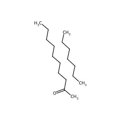 CCCCCCC.CCCCCCCCC(C)=O